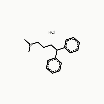 CN(C)CCCC(c1ccccc1)c1ccccc1.Cl